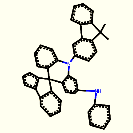 CC1(C)c2ccccc2-c2cc(N3c4ccccc4C4(c5ccccc5-c5ccccc54)c4ccc(Nc5ccccc5)cc43)ccc21